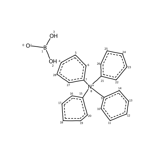 [O-]B(O)O.c1ccc([N+](c2ccccc2)(c2ccccc2)c2ccccc2)cc1